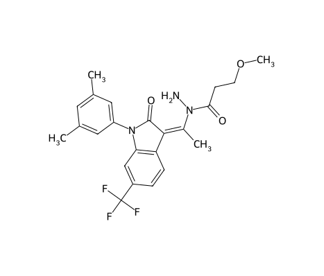 COCCC(=O)N(N)/C(C)=C1\C(=O)N(c2cc(C)cc(C)c2)c2cc(C(F)(F)F)ccc21